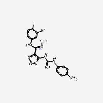 N=C(Nc1ccc(N)cc1)Nc1nonc1/C(=N/O)Nc1ccc(F)c(Br)c1